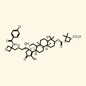 CC(C)C1=C2[C@H]3CC[C@@H]4[C@@]5(C)CC[C@H](OC(=O)[C@H]6C[C@@H](C(=O)O)C6(C)C)C(C)(C)[C@@H]5CC[C@@]4(C)[C@]3(C)CC[C@@]2([C@@H](O)CNCC2(NC(=O)c3ccc(Cl)cc3)COC2)CC1=O